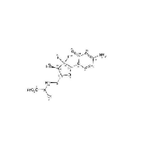 CCOC(=O)C(CC)NC[C@H]1O[C@@H](n2ccc(N)nc2=O)C(F)(F)[C@@H]1O